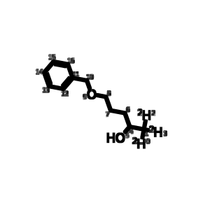 [2H]C([2H])([2H])C(O)CCCOCc1ccccc1